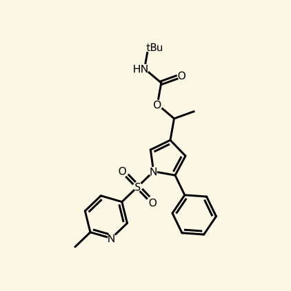 Cc1ccc(S(=O)(=O)n2cc(C(C)OC(=O)NC(C)(C)C)cc2-c2ccccc2)cn1